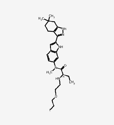 CC[C@@H](NCCOCCI)C(=O)N(C)c1ccc2cc(-c3n[nH]c4c3CCC(C)(C)C4)[nH]c2c1